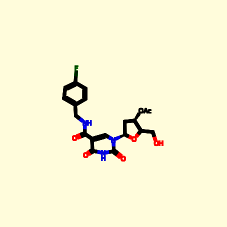 CC(=O)O[C@@H]1C[C@H](n2cc(C(=O)NCc3ccc(F)cc3)c(=O)[nH]c2=O)OC1CO